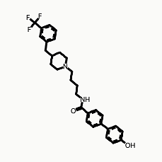 O=C(NCCCCN1CCC(Cc2cccc(C(F)(F)F)c2)CC1)c1ccc(-c2ccc(O)cc2)cc1